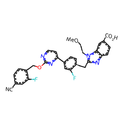 COCCn1c(Cc2ccc(-c3ccnc(OCc4ccc(C#N)cc4F)n3)cc2F)nc2ccc(C(=O)O)cc21